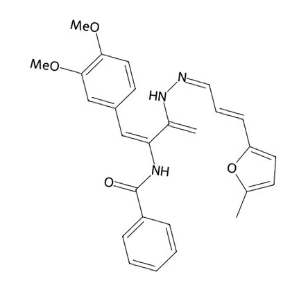 C=C(N/N=C\C=C\c1ccc(C)o1)/C(=C\c1ccc(OC)c(OC)c1)NC(=O)c1ccccc1